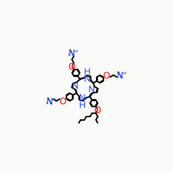 CCCCCCC(CCC)Oc1ccc(-c2c3nc(c(-c4ccc(OCCC[N+](C)(C)C)cc4)c4ccc([nH]4)c(-c4ccc(OCCC[N+](C)(C)C)cc4)c4nc(c(-c5ccc(OCCC[N+](C)(C)C)cc5)c5ccc2[nH]5)C=C4)C=C3)cc1